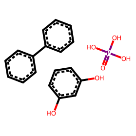 O=P(O)(O)O.Oc1cccc(O)c1.c1ccc(-c2ccccc2)cc1